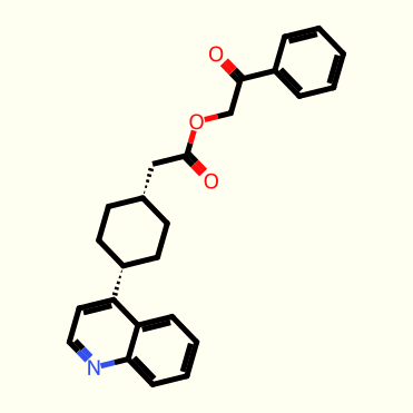 O=C(C[C@H]1CC[C@@H](c2ccnc3ccccc32)CC1)OCC(=O)c1ccccc1